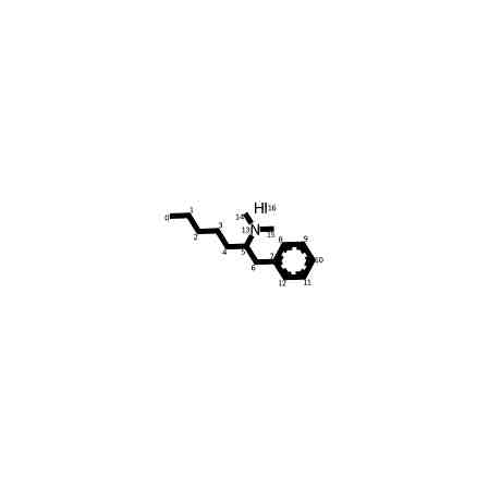 CCCCCC(Cc1ccccc1)N(C)C.I